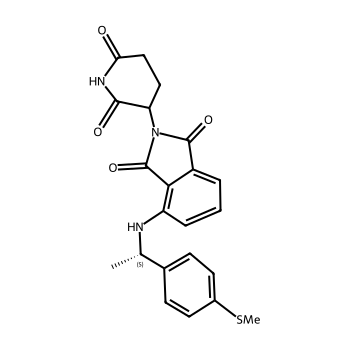 CSc1ccc([C@H](C)Nc2cccc3c2C(=O)N(C2CCC(=O)NC2=O)C3=O)cc1